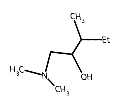 CCC(C)C(O)CN(C)C